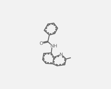 Cc1ccc2cccc(NC(=O)c3ccccc3)c2n1